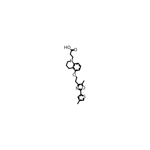 Cc1csc(-c2nc(CCOc3cccc4c3CCCN4CCC(=O)O)c(C)o2)c1